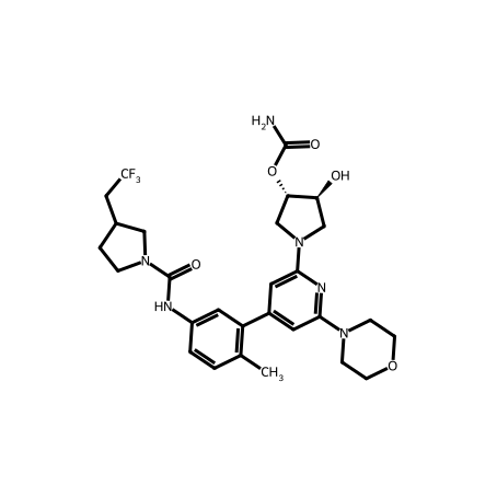 Cc1ccc(NC(=O)N2CCC(CC(F)(F)F)C2)cc1-c1cc(N2CCOCC2)nc(N2C[C@H](OC(N)=O)[C@@H](O)C2)c1